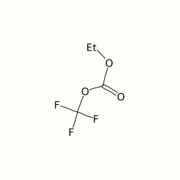 [CH2]COC(=O)OC(F)(F)F